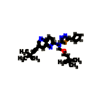 C[Si](C)(C)C#Cc1cnc2ccc(N(COCC[Si](C)(C)C)c3nnc(C4CCCC4)s3)nc2c1